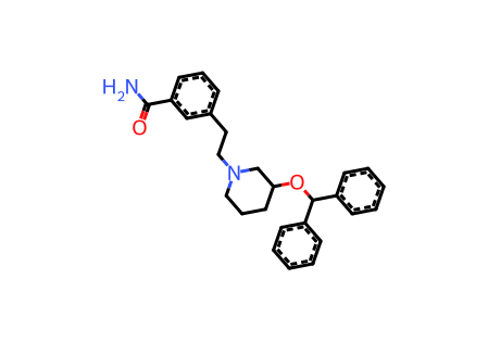 NC(=O)c1cccc(CCN2CCCC(OC(c3ccccc3)c3ccccc3)C2)c1